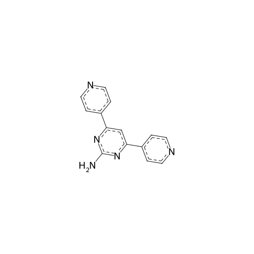 Nc1nc(-c2ccncc2)cc(-c2ccncc2)n1